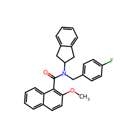 COc1ccc2ccccc2c1C(=O)N(Cc1ccc(F)cc1)C1Cc2ccccc2C1